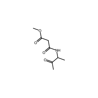 COC(=O)CC(=O)NC(C)C(C)=O